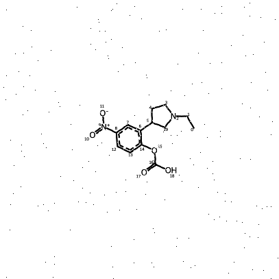 CCN1CCC(c2cc([N+](=O)[O-])ccc2OC(=O)O)C1